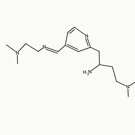 CN(C)CCN=Cc1ccnc(CC(N)CCN(C)C)c1